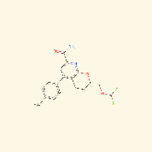 Cc1ccc(-c2cc(C(N)=O)nc3c2CC[C@@H](COC(F)F)O3)cc1